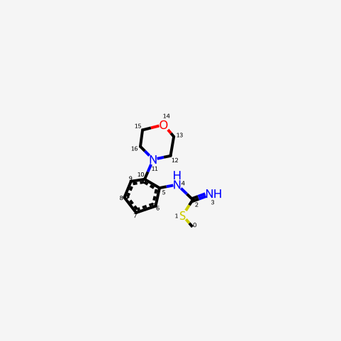 CSC(=N)Nc1ccccc1N1CCOCC1